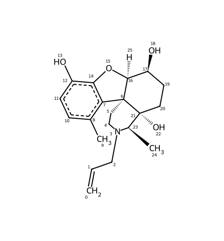 C=CCN1CC[C@]23c4c(C)ccc(O)c4O[C@H]2[C@@H](O)CC[C@@]3(O)[C@H]1C